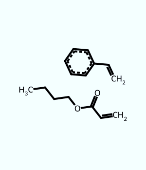 C=CC(=O)OCCCC.C=Cc1ccccc1